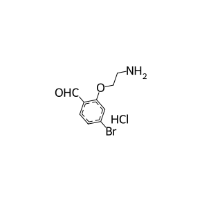 Cl.NCCOc1cc(Br)ccc1C=O